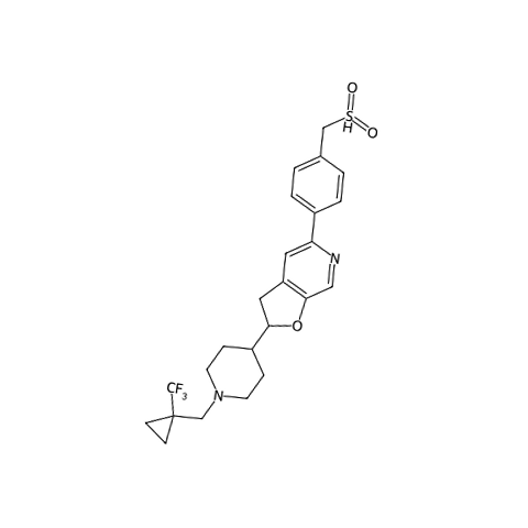 O=[SH](=O)Cc1ccc(-c2cc3c(cn2)OC(C2CCN(CC4(C(F)(F)F)CC4)CC2)C3)cc1